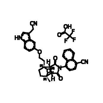 C[C@]12CC[C@](CCOc3ccc4[nH]cc(CC#N)c4c3)(O1)[C@@H]1C(=O)N(c3ccc(C#N)c4ccccc34)C(=O)[C@@H]12.O=C(O)C(F)(F)F